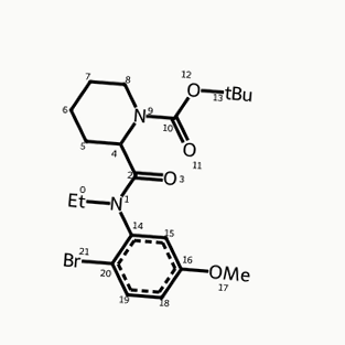 CCN(C(=O)C1CCCCN1C(=O)OC(C)(C)C)c1cc(OC)ccc1Br